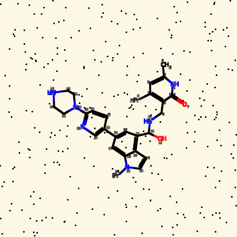 CCCc1cc(C)[nH]c(=O)c1CNC(O)c1cc(-c2ccc(N3CCNCC3)nc2)cc2c1ccn2C(C)C